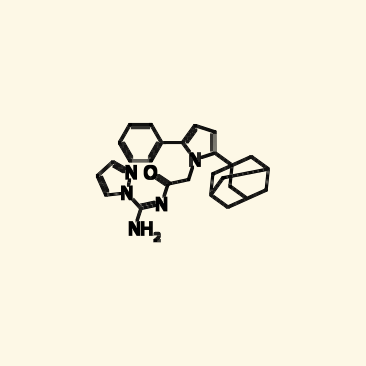 N/C(=N/C(=O)Cn1c(-c2ccccc2)ccc1C12CC3CC(CC(C3)C1)C2)n1cccn1